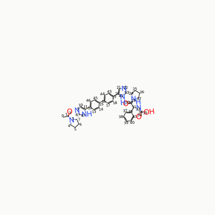 CC(=O)N1CCC[C@H]1c1ncc(-c2ccc(-c3ccc(-c4cnc([C@@H]5CCCN5C(=O)[C@H](NC(=O)O)c5ccccc5)[nH]4)cc3)cc2)[nH]1